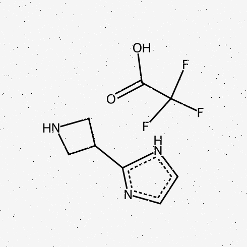 O=C(O)C(F)(F)F.c1c[nH]c(C2CNC2)n1